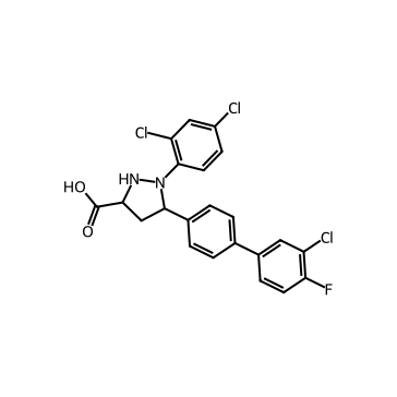 O=C(O)C1CC(c2ccc(-c3ccc(F)c(Cl)c3)cc2)N(c2ccc(Cl)cc2Cl)N1